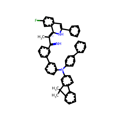 C/C(C(=N)c1cccc(-c2cccc(N(c3ccc(-c4ccccc4)cc3)c3ccc4c(c3)C(C)(C)c3ccccc3-4)c2)c1)=C1/NC(c2ccccc2)=Cc2ccc(F)cc21